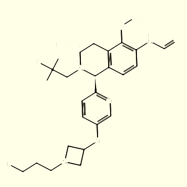 COc1c(NC=O)ccc2c1C[C@@H](C)N(CC(F)(F)F)[C@@H]2c1ccc(NC2CN(CCCF)C2)cn1